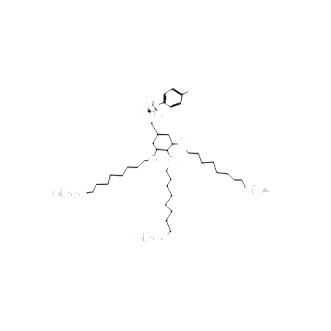 CCCCCCCCCCCCCCCCCCOC1CC(COS(=O)(=O)c2ccc(C)cc2)CC(OCCCCCCCCCCCCCCCCCC)C1OCCCCCCCCCCCCCCCCCC